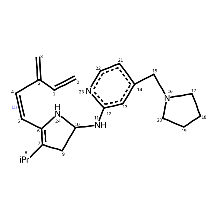 C=CC(=C)/C=C\C1=C(C(C)C)CC(Nc2cc(CN3CCCC3)ccn2)N1